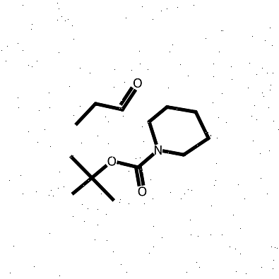 CC(C)(C)OC(=O)N1CCCCC1.CCC=O